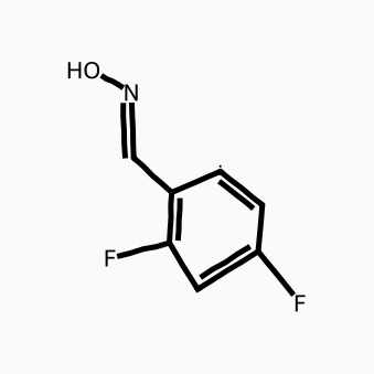 ON=Cc1[c]cc(F)cc1F